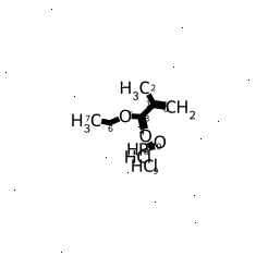 C=C(C)C(=O)OCC.Cl.Cl.O=P